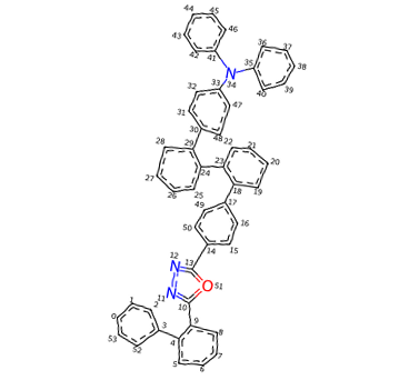 c1ccc(-c2ccccc2-c2nnc(-c3ccc(-c4ccccc4-c4ccccc4-c4ccc(N(c5ccccc5)c5ccccc5)cc4)cc3)o2)cc1